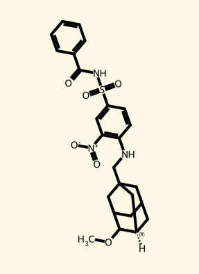 COC1C2CC3C[C@@H]1CC(CNc1ccc(S(=O)(=O)NC(=O)c4ccccc4)cc1[N+](=O)[O-])(C3)C2